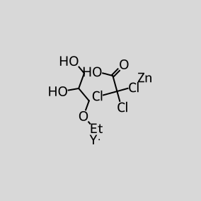 CCOCC(O)CO.O=C(O)C(Cl)(Cl)Cl.[Y].[Zn]